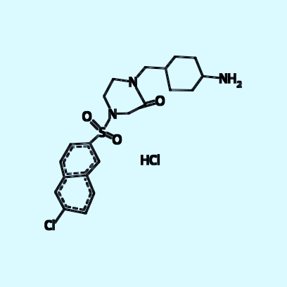 Cl.NC1CCC(CN2CCN(S(=O)(=O)c3ccc4cc(Cl)ccc4c3)CC2=O)CC1